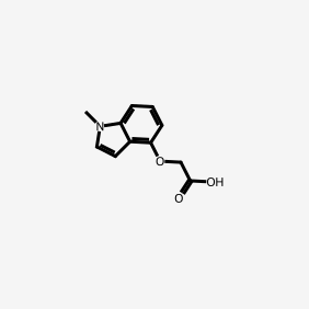 Cn1ccc2c(OCC(=O)O)cccc21